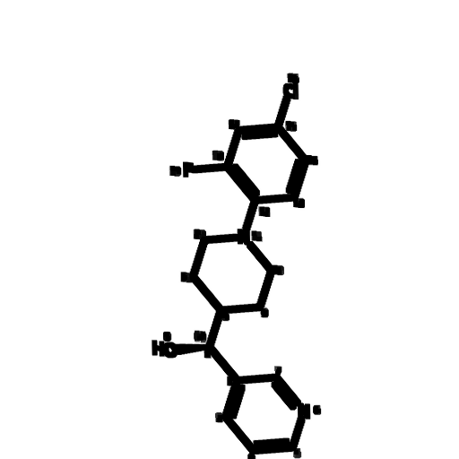 O[C@H](c1cccnc1)C1CCN(c2ccc(Cl)cc2F)CC1